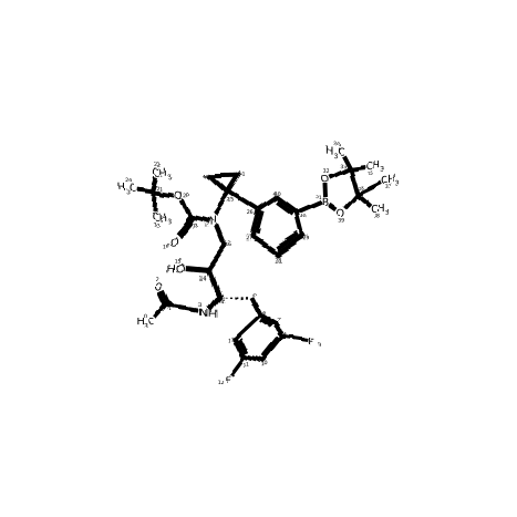 CC(=O)N[C@@H](Cc1cc(F)cc(F)c1)C(O)CN(C(=O)OC(C)(C)C)C1(c2cccc(B3OC(C)(C)C(C)(C)O3)c2)CC1